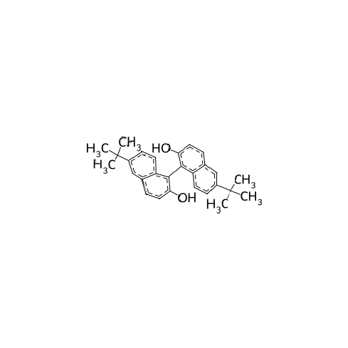 CC(C)(C)c1ccc2c(-c3c(O)ccc4cc(C(C)(C)C)ccc34)c(O)ccc2c1